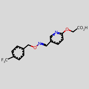 O=C(O)COc1ccc(/C=N/OCc2ccc(C(F)(F)F)cc2)cn1